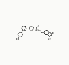 N#Cc1c[nH]c2ccc(CCNC(=O)c3ccc(-c4ccnc(N5CCC(O)CC5)n4)cc3)cc12